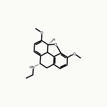 CCN[C@H]1Cc2ccc(OC)c3c2C2C1=CC=C(OC)[C@H]2O3